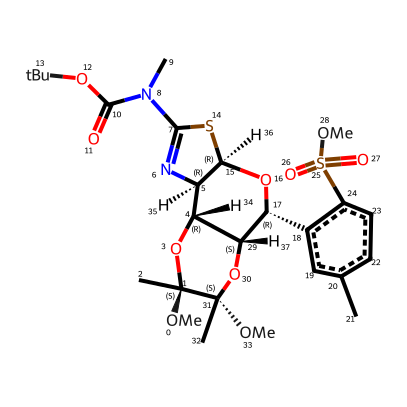 CO[C@@]1(C)O[C@@H]2[C@H]3N=C(N(C)C(=O)OC(C)(C)C)S[C@H]3O[C@H](c3cc(C)ccc3S(=O)(=O)OC)[C@@H]2O[C@]1(C)OC